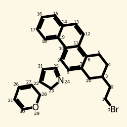 BrCCC1CCc2c(ccc3c2ccc2ccccc23)C1.C1=CCN=C1.C1=CCOC=C1